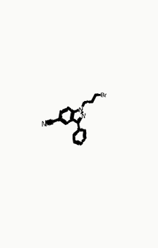 N#Cc1ccc2c(c1)c(-c1ccccc1)nn2CCCBr